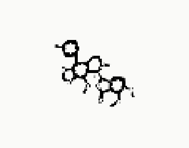 COc1ccc2c(c1OC)C(=O)OC2[C@H]1c2c(c(-c3cccc(C)c3)c3c(c2OC)OCO3)CCN1C